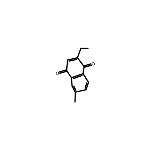 CCC1=CC(=O)c2cc(C)ccc2C1=O